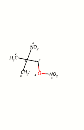 [CH2]C(C)(CO[N+](=O)[O-])[N+](=O)[O-]